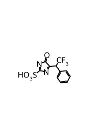 O=C1N=C(S(=O)(=O)O)N=C1C(c1ccccc1)C(F)(F)F